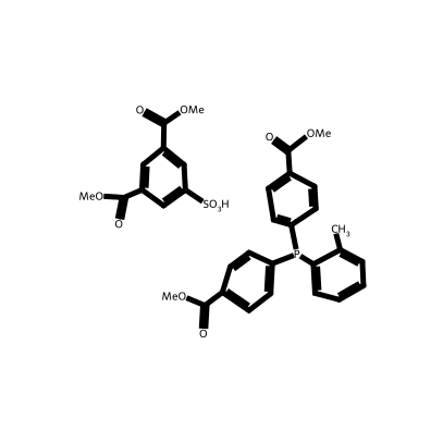 COC(=O)c1cc(C(=O)OC)cc(S(=O)(=O)O)c1.COC(=O)c1ccc(P(c2ccc(C(=O)OC)cc2)c2ccccc2C)cc1